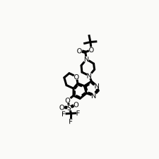 CC(C)(C)OC(=O)N1CCN(c2ncnc3cc(OS(=O)(=O)C(F)(F)F)c4c(c23)OCCC4)CC1